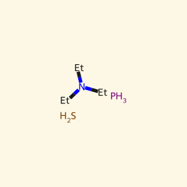 CCN(CC)CC.P.S